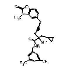 CCCC(CC#CCc1ccc2oc(=O)n(C)c2c1)(CC1CC1)C(=O)NCc1cc(C(F)(F)F)cc(C(F)(F)F)c1